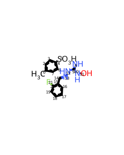 Cc1ccc(S(=O)(=O)O)cc1.N=C(NO)NN=Cc1ccccc1F